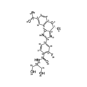 CC[C@@H](Oc1ccc(C(=O)C(C)C)cc1)c1nc(-c2ccc(C(=O)NC(CO)CO)c(F)c2)no1